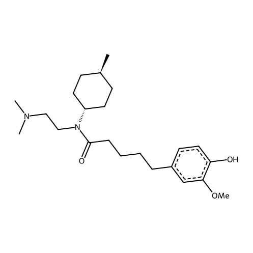 COc1cc(CCCCC(=O)N(CCN(C)C)[C@H]2CC[C@H](C)CC2)ccc1O